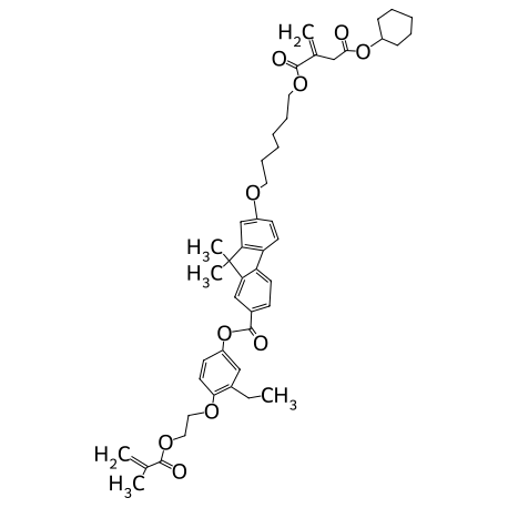 C=C(C)C(=O)OCCOc1ccc(OC(=O)c2ccc3c(c2)C(C)(C)c2cc(OCCCCCCOC(=O)C(=C)CC(=O)OC4CCCCC4)ccc2-3)cc1CC